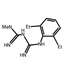 CCc1cccc(CC)c1NC(=N)NC(=N)NC